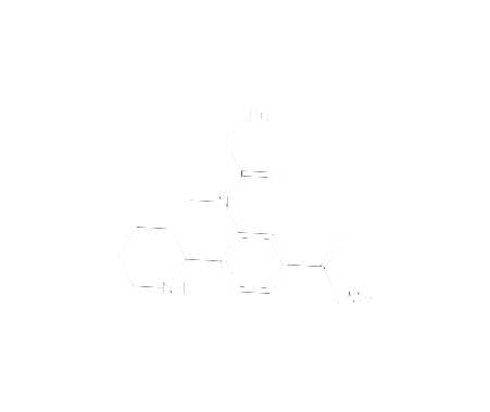 COC(=O)c1ccc(C2CCCCN2)c(N(C)C(=O)OC(C)(C)C)c1